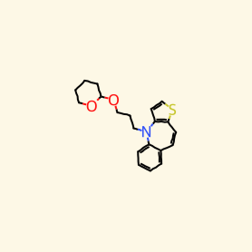 C1=Cc2sccc2N(CCCOC2CCCCO2)c2ccccc21